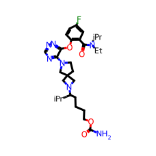 CCN(C(=O)c1cc(F)ccc1Oc1nncnc1N1CCC2(C1)CN(C(CCCCOC(N)=O)C(C)C)C2)C(C)C